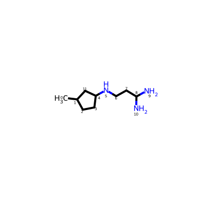 CC1CCC(NCCC(N)N)C1